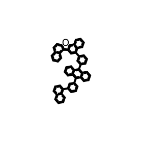 c1cc(-c2cccc3ccccc23)cc(-c2c3ccccc3c(-c3cccc(-c4cc5c(oc6ccc7ccccc7c65)c5ccccc45)c3)c3ccccc23)c1